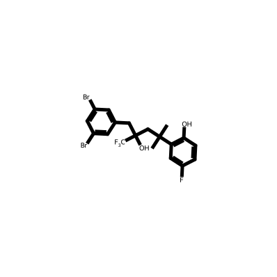 CC(C)(CC(O)(Cc1cc(Br)cc(Br)c1)C(F)(F)F)c1cc(F)ccc1O